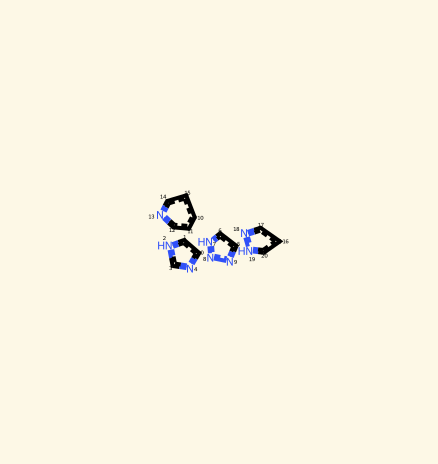 c1c[nH]cn1.c1c[nH]nn1.c1ccncc1.c1cn[nH]c1